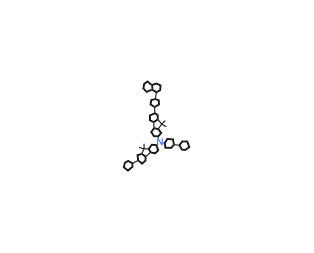 CC1(C)c2cc(-c3ccccc3)ccc2-c2ccc(N(c3ccc(-c4ccccc4)cc3)c3ccc4c(c3)C(C)(C)c3cc(-c5ccc(-c6cccc7ccccc67)cc5)ccc3-4)cc21